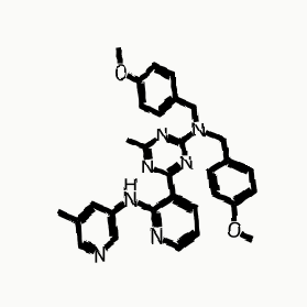 COc1ccc(CN(Cc2ccc(OC)cc2)c2nc(C)nc(-c3cccnc3Nc3cncc(C)c3)n2)cc1